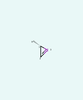 C[C@H]1C=I1